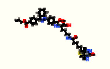 C=CCOC(=O)c1ccc(-c2nn(-c3ccc(C(=O)NC(CCCCNC(=O)CCCC[C@@H]4SC[C@@H]5NC(=O)N[C@@H]54)C(=O)O)cc3)c3ccccc23)cc1